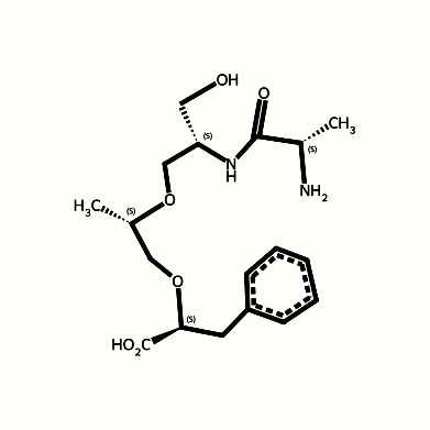 C[C@H](N)C(=O)N[C@@H](CO)CO[C@@H](C)CO[C@@H](Cc1ccccc1)C(=O)O